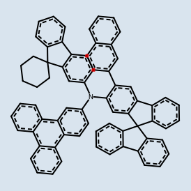 c1ccc2c(c1)-c1ccc(N(c3ccc4c5ccccc5c5ccccc5c4c3)c3cc4c(cc3-c3ccc5ccccc5c3)-c3ccccc3C43c4ccccc4-c4ccccc43)cc1C21CCCCC1